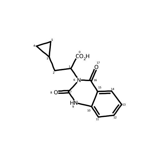 O=C(O)C(CC1CC1)n1c(=O)[nH]c2ccccc2c1=O